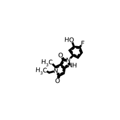 CCn1c(C)c2c(=O)n(-c3ccc(F)c(O)c3)[nH]c2cc1=O